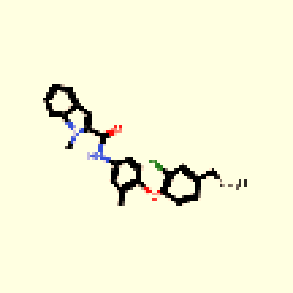 Cc1cc(NC(=O)c2cc3ccccc3n2C)ccc1Oc1ccc(CC(=O)O)cc1Cl